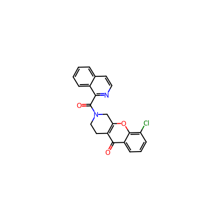 O=C(c1nccc2ccccc12)N1CCc2c(oc3c(Cl)cccc3c2=O)C1